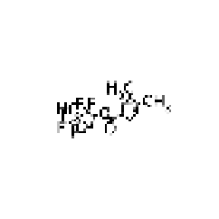 CC1C2CC(C(=O)OC3COC(O)(C(F)(F)F)C3(F)F)C(C2)C1C